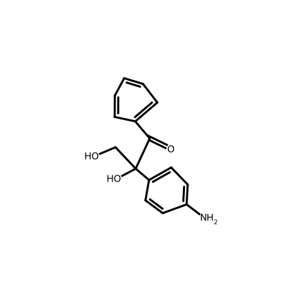 Nc1ccc(C(O)(CO)C(=O)c2ccccc2)cc1